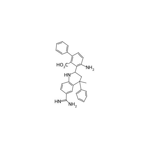 CC1(c2ccccc2)CC(c2c(N)ccc(-c3ccccc3)c2C(=O)O)Nc2ccc(C(=N)N)cc21